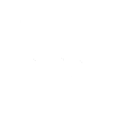 Fc1cc(Cl)cc2sc(N3CCc4c([nH]c5ccc(Cl)cc45)C3)nc12